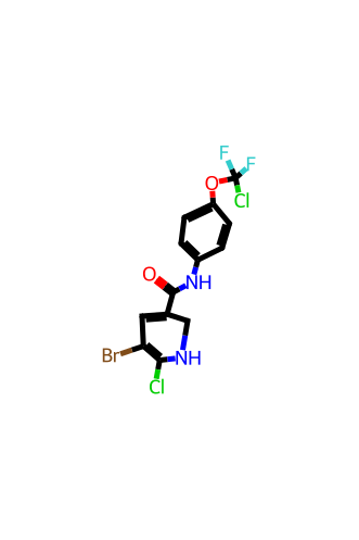 O=C(Nc1ccc(OC(F)(F)Cl)cc1)C1=CC(Br)=C(Cl)NC1